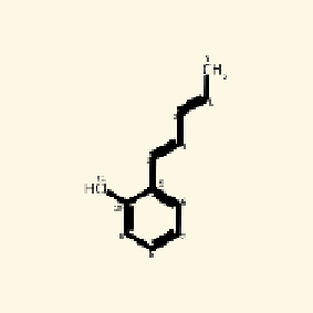 CC=CC=Cc1ccccc1O